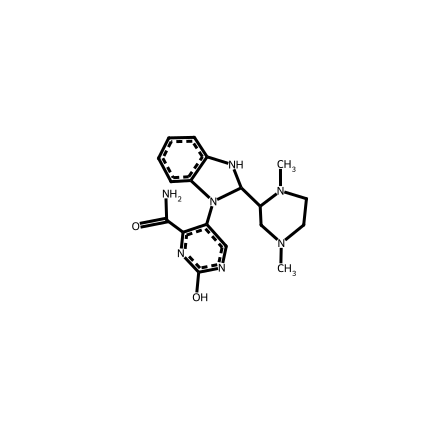 CN1CCN(C)C(C2Nc3ccccc3N2c2cnc(O)nc2C(N)=O)C1